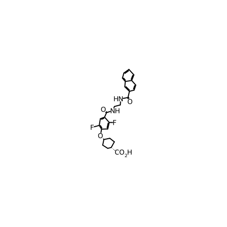 O=C(NCCNC(=O)c1cc(F)c(O[C@H]2CC[C@@H](C(=O)O)CC2)cc1F)c1ccc2ccccc2c1